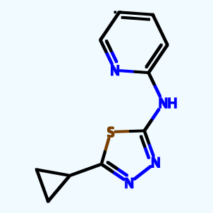 [c]1ccc(Nc2nnc(C3CC3)s2)nc1